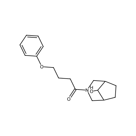 O=C(CCCOc1ccccc1)N1CC2CCC(C1)C2O